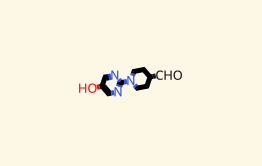 O=CC1CCN(c2ncc(O)cn2)CC1